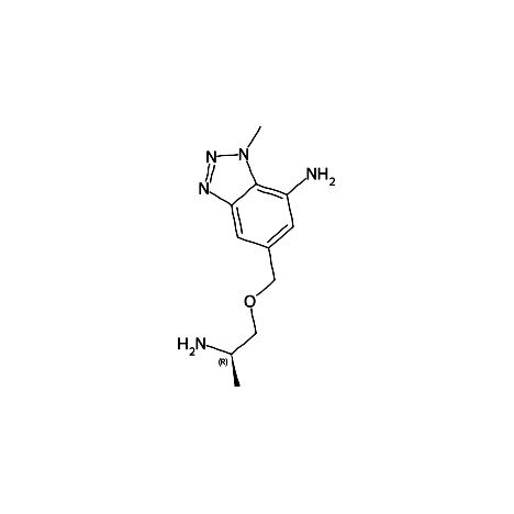 C[C@@H](N)COCc1cc(N)c2c(c1)nnn2C